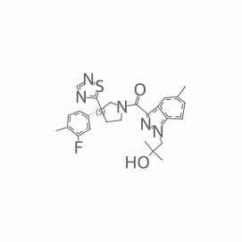 Cc1ccc2c(c1)c(C(=O)N1CC[C@@](c3ccc(C)c(F)c3)(c3ncns3)C1)nn2CC(C)(C)O